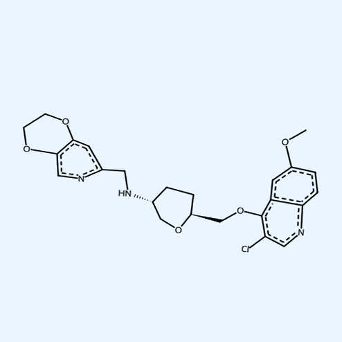 COc1ccc2ncc(Cl)c(OC[C@@H]3CC[C@@H](NCc4cc5c(cn4)OCCO5)CO3)c2c1